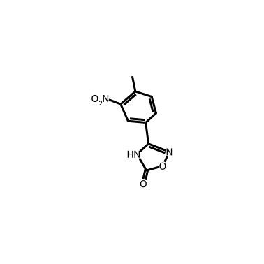 Cc1ccc(-c2noc(=O)[nH]2)cc1[N+](=O)[O-]